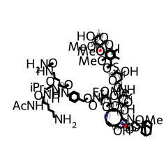 CCN(C(=O)OCc1ccc(NC(=O)[C@H](CCCNC(N)=O)NC(=O)[C@@H](NC(=O)[C@H](CCCCN)NC(C)=O)C(C)C)cc1)[C@H]1CO[C@@H](O[C@H]2[C@H](O[C@H]3C#C/C=C\C#C[C@]4(O)CC(=O)C(NC(=O)OC)=C3/C4=C\CSSC34CC5CC(CC(C5)C3)C4)O[C@H](C)[C@@H](NO[C@H]3C[C@H](O)[C@H](SC(=O)c4c(C)c(I)c(O[C@@H]5O[C@@H](C)[C@H](O)[C@@H](OC)[C@H]5O)c(OC)c4OC)[C@@H](C)O3)[C@@H]2O)C[C@@H]1OC